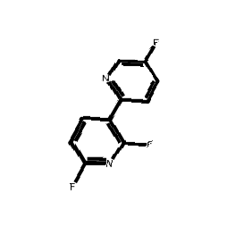 Fc1ccc(-c2ccc(F)nc2F)nc1